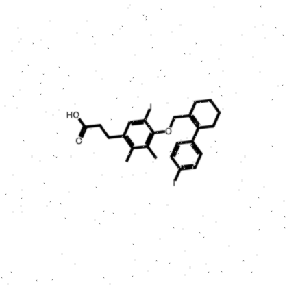 Cc1c(CCC(=O)O)cc(I)c(OCC2=C(c3ccc(I)cc3)CCCC2)c1C